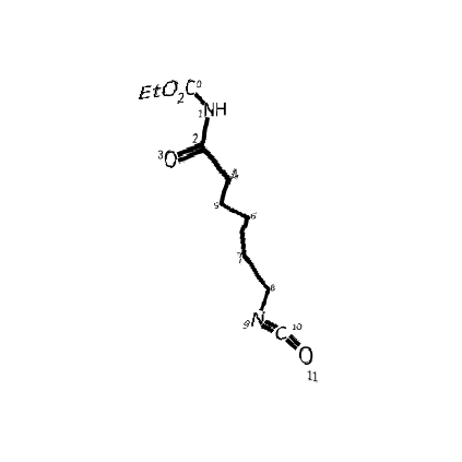 CCOC(=O)NC(=O)CCCCCN=C=O